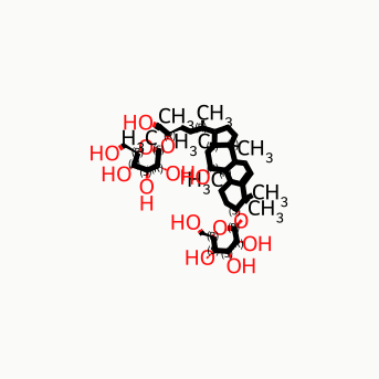 C[C@H](CC[C@@H](O[C@@H]1O[C@H](CO)[C@@H](O)[C@H](O)[C@H]1O)C(C)(C)O)C1CC[C@@]2(C)C3CC=C4C(CC[C@H](O[C@@H]5O[C@H](CO)[C@@H](O)[C@H](O)[C@H]5O)C4(C)C)[C@]3(C)[C@H](O)C[C@]12C